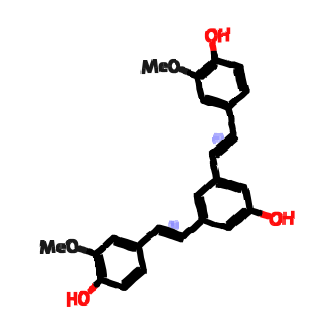 COc1cc(/C=C/c2cc(O)cc(/C=C/c3ccc(O)c(OC)c3)c2)ccc1O